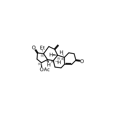 C=C1C[C@]2(CC)C(=O)C[C@H](OC(C)=O)[C@H]2[C@@H]2CCC3=CC(=O)CC[C@@H]3[C@@H]12